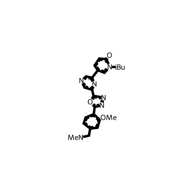 CCC(C)n1cc(-c2cncc(-c3nnc(-c4ccc(CNC)cc4OC)o3)n2)ccc1=O